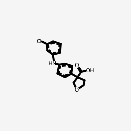 O=C(O)C1(c2ccc(Nc3cccc(Cl)c3)cc2)CCOC1